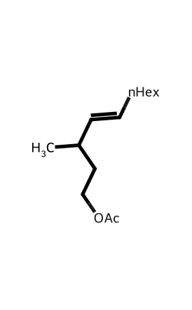 CCCCCCC=CC(C)CCOC(C)=O